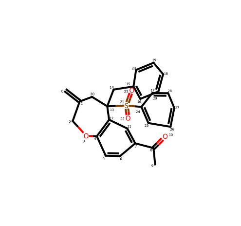 C=C1COc2ccc(C(C)=O)cc2C(Cc2ccccc2)(S(=O)(=O)c2ccccc2)C1